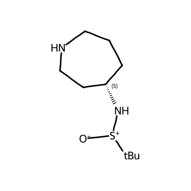 CC(C)(C)[S+]([O-])N[C@H]1CCCNCC1